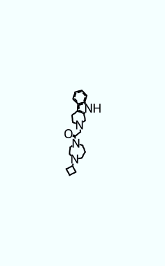 O=C(CN1CCc2c([nH]c3ccccc23)C1)N1CCCN(C2CCC2)CC1